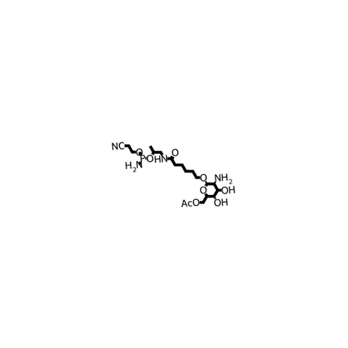 CC(=O)OCC1O[C@@H](OCCCCCC(=O)NCC(C)OP(N)OCCC#N)[C@@H](N)C(O)[C@H]1O